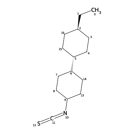 CC[C@H]1CC[C@H](C2CCC(N=C=S)CC2)CC1